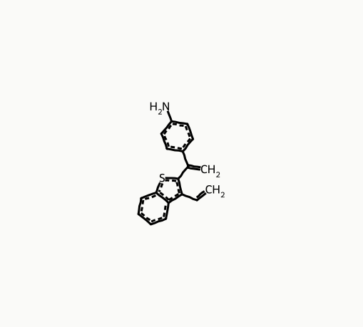 C=Cc1c(C(=C)c2ccc(N)cc2)sc2ccccc12